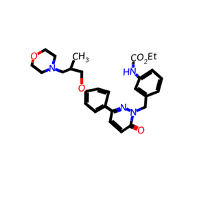 CCOC(=O)Nc1cccc(Cn2nc(-c3ccc(OCC(C)CN4CCOCC4)cc3)ccc2=O)c1